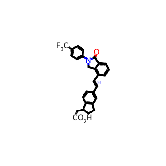 O=C(O)CC1CCc2cc(/C=C/c3cccc4c3CN(c3ccc(C(F)(F)F)cc3)C4=O)ccc21